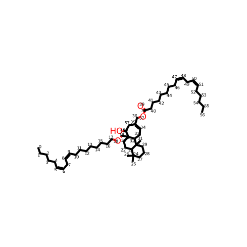 CCCCC/C=C\C/C=C\CCCCCCCCOCC12CCC3C(C)(C)CCCC3(C)C1CC=C(COC(=O)CCCCCCC/C=C\C/C=C\CCCCC)CC2O